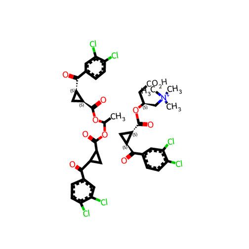 CC(OC(=O)C1CC1C(=O)c1ccc(Cl)c(Cl)c1)OC(=O)[C@H]1C[C@@H]1C(=O)c1ccc(Cl)c(Cl)c1.C[N+](C)(C)C[C@H](CC(=O)O)OC(=O)[C@H]1C[C@@H]1C(=O)c1ccc(Cl)c(Cl)c1